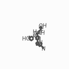 CC1(O)CCC[C@H](Nc2cc(-c3ccc4cc(C#N)cnn34)ncc2C(=O)NCC(F)C(C)(C)O)C1